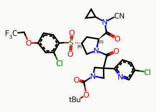 CC(C)(C)OC(=O)N1CC(C(=O)N2C[C@H](S(=O)(=O)c3ccc(OCC(F)(F)F)cc3Cl)C[C@H]2C(=O)N(C#N)C2CC2)(c2ccc(Cl)cn2)C1